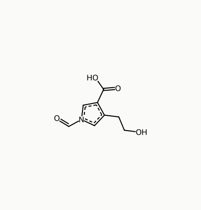 O=Cn1cc(CCO)c(C(=O)O)c1